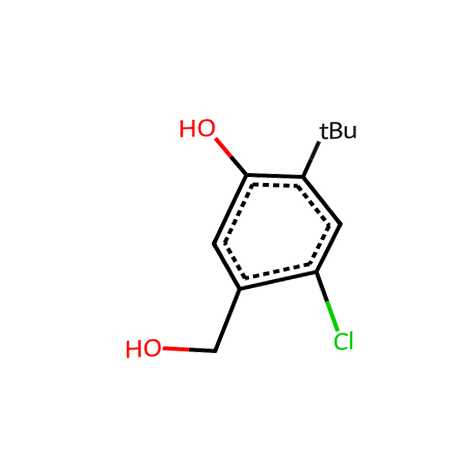 CC(C)(C)c1cc(Cl)c(CO)cc1O